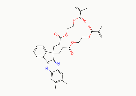 C=C(C)C(=O)OCCOC(=O)CCC1(CCC(=O)OCCOC(=O)C(=C)C)c2ccccc2-c2nc3cc(C)c(C)cc3nc21